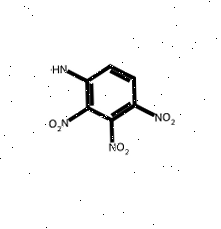 [NH]c1ccc([N+](=O)[O-])c([N+](=O)[O-])c1[N+](=O)[O-]